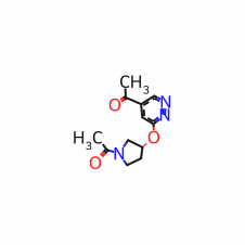 CC(=O)c1cnnc(O[C@@H]2CCN(C(C)=O)C2)c1